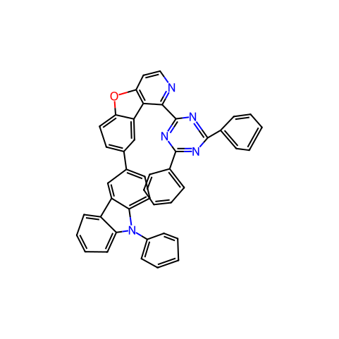 c1ccc(-c2nc(-c3ccccc3)nc(-c3nccc4oc5ccc(-c6ccc7c(c6)c6ccccc6n7-c6ccccc6)cc5c34)n2)cc1